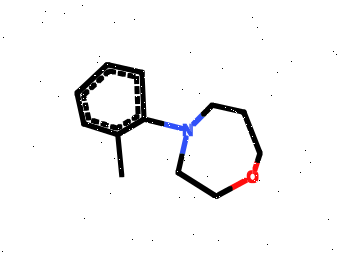 Cc1ccccc1N1CCCOCC1